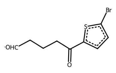 O=[C]CCCC(=O)c1ccc(Br)s1